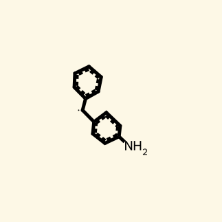 Nc1ccc([CH]c2ccccc2)cc1